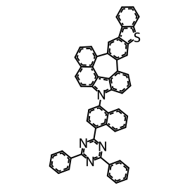 c1ccc(-c2nc(-c3ccccc3)nc(-c3ccc(-n4c5cccc6c5c5c7c(cccc7ccc54)-c4cc5c(cc4-6)sc4ccccc45)c4ccccc34)n2)cc1